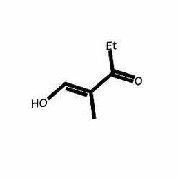 CCC(=O)C(C)=CO